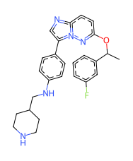 CC(Oc1ccc2ncc(-c3ccc(NCC4CCNCC4)cc3)n2n1)c1cccc(F)c1